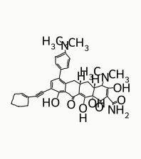 CN(C)c1ccc(-c2cc(C#CC3=CCCCC3)c(O)c3c2C[C@@H]2C[C@@H]4C(N(C)C)C(O)=C(C(N)=O)C(=O)[C@@]4(O)C(O)=C2C3=O)cc1